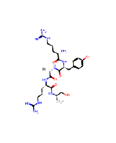 CC[C@H](C)[C@H](NC(=O)[C@H](Cc1ccc(O)cc1)NC(=O)[C@@H](N)CCCNC(=N)N)C(=O)N[C@@H](CCCNC(=N)N)C(=O)N[C@@H](CO)C(=O)O